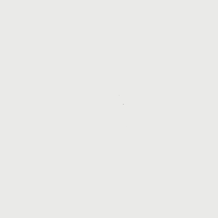 O=C(Cl)C1(c2ccc(Cl)cc2Cl)CC1